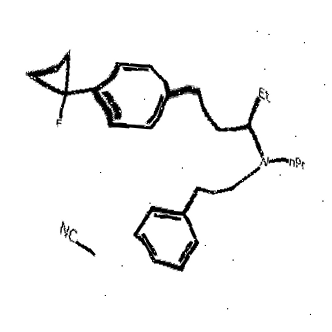 CC#N.CCCN(CCc1ccccc1)C(CC)CCc1ccc(C2(F)CC2)cc1